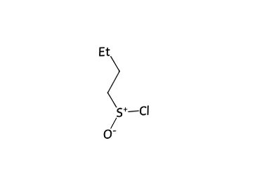 CCCC[S+]([O-])Cl